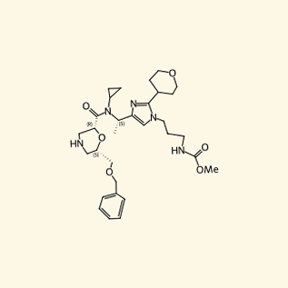 COC(=O)NCCCn1cc([C@H](C)N(C(=O)[C@H]2CNC[C@@H](COCc3ccccc3)O2)C2CC2)nc1C1CCOCC1